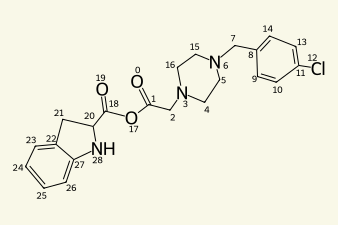 O=C(CN1CCN(Cc2ccc(Cl)cc2)CC1)OC(=O)C1Cc2ccccc2N1